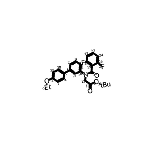 CCOc1ccc(-c2cccc(N(CC(=O)OC(C)(C)C)C(=O)c3c(F)cccc3F)c2)cc1